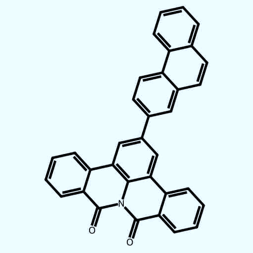 O=c1c2ccccc2c2cc(-c3ccc4c(ccc5ccccc54)c3)cc3c4ccccc4c(=O)n1c23